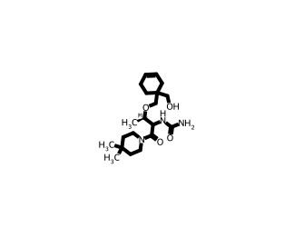 C[C@@H](OCC1(CO)CC=CCC1)C(NC(N)=O)C(=O)N1CCC(C)(C)CC1